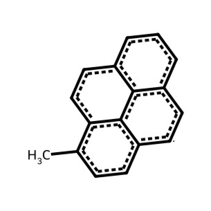 Cc1ccc2[c]cc3cccc4ccc1c2c34